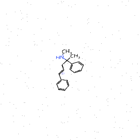 CNC(C)(C/C=C/c1ccccc1)c1ccccc1